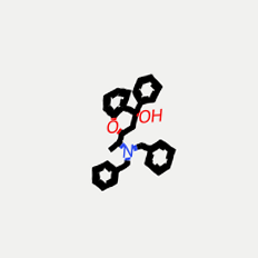 CC(C1CC(O)(c2ccccc2)c2ccccc2O1)N(Cc1ccccc1)Cc1ccccc1